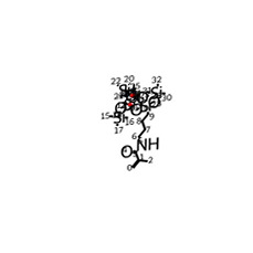 C=C(C)C(=O)NCCCC[Si](O[SiH](O[Si](C)(C)C)O[Si](C)(C)C)(O[Si](C)(C)C)O[Si](C)(C)C